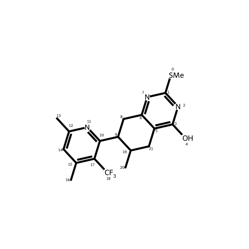 CSc1nc(O)c2c(n1)CC(c1nc(C)cc(C)c1C(F)(F)F)C(C)C2